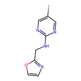 Ic1cnc(NCc2ncco2)nc1